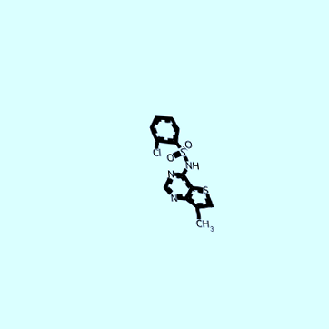 Cc1csc2c(NS(=O)(=O)c3ccccc3Cl)ncnc12